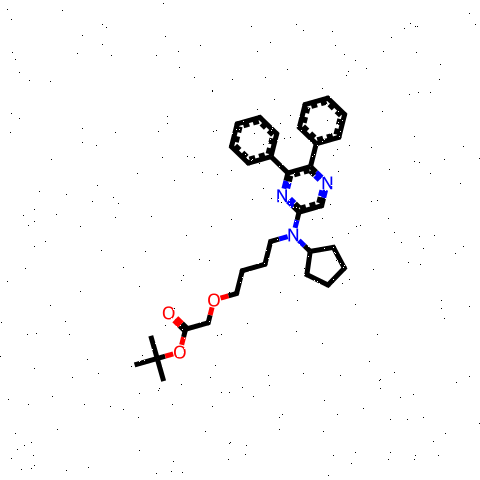 CC(C)(C)OC(=O)COCCCCN(c1cnc(-c2ccccc2)c(-c2ccccc2)n1)C1CCCC1